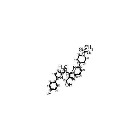 CN(c1nc(-c2ccc(F)cc2)cs1)c1c(CO)nc2ccc(C3CCN(S(C)(=O)=O)CC3)nn12